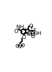 CS(=O)(=O)CCCOc1cc(C(N)=O)cc2c(C=O)c(C(F)(F)P(=O)(O)O)sc12